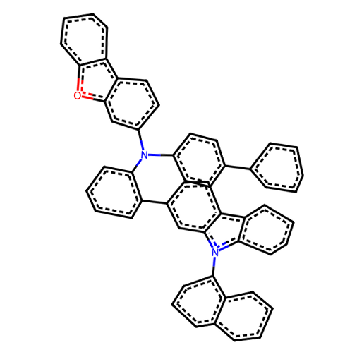 c1ccc(-c2ccc(N(c3ccc4c(c3)oc3ccccc34)c3ccccc3-c3ccc4c5ccccc5n(-c5cccc6ccccc56)c4c3)cc2)cc1